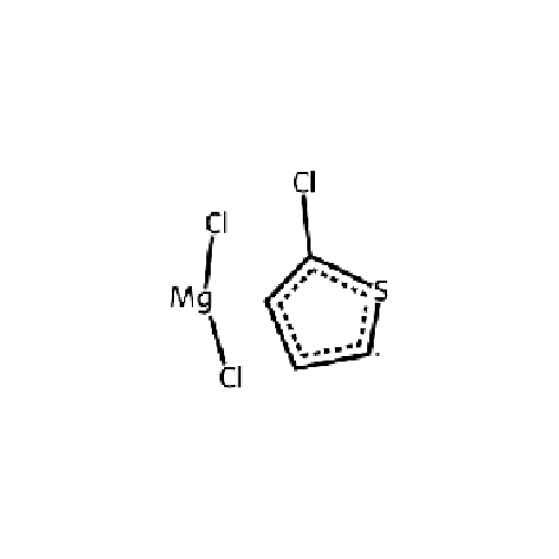 Clc1cc[c]s1.[Cl][Mg][Cl]